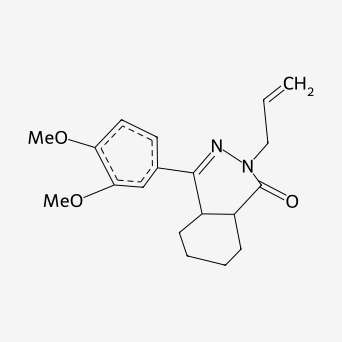 C=CCN1N=C(c2ccc(OC)c(OC)c2)C2CCCCC2C1=O